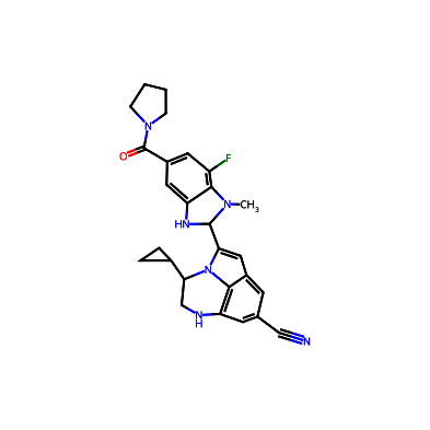 CN1c2c(F)cc(C(=O)N3CCCC3)cc2NC1c1cc2cc(C#N)cc3c2n1C(C1CC1)CN3